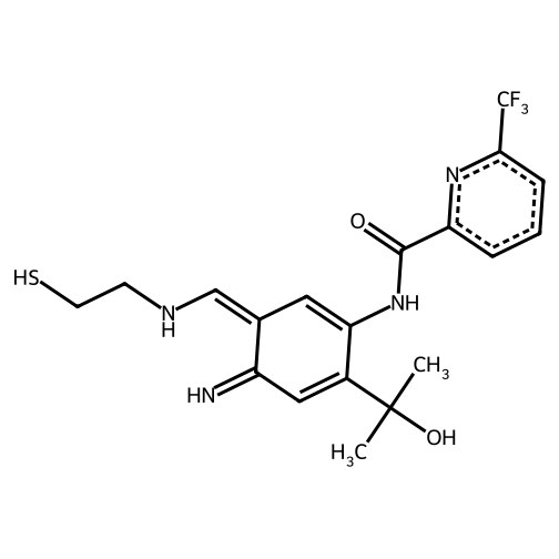 CC(C)(O)C1=CC(=N)/C(=C\NCCS)C=C1NC(=O)c1cccc(C(F)(F)F)n1